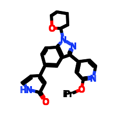 CC(C)Oc1cc(-c2nn(C3CCCCO3)c3ccc(-c4cc[nH]c(=O)c4)cc23)ccn1